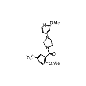 COc1cc(N2CCN(C(=O)c3cc(C)ccc3OC)CC2)ccn1